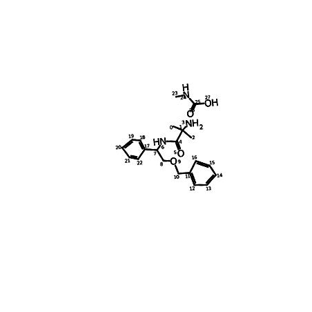 CC(C)(N)C(=O)NC(COCc1ccccc1)c1ccccc1.CNC(=O)O